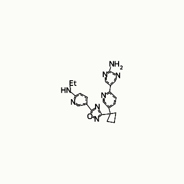 CCNc1ccc(-c2nc(C3(c4ccc(-c5cnc(N)nc5)nc4)CCC3)no2)cn1